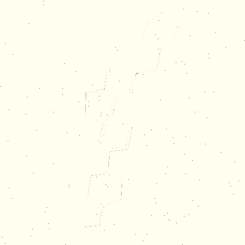 O=C(O)CN1CCN(c2ccc3c(NC(=O)CC4CCCCC4)c(Cl)ccc3n2)CC1